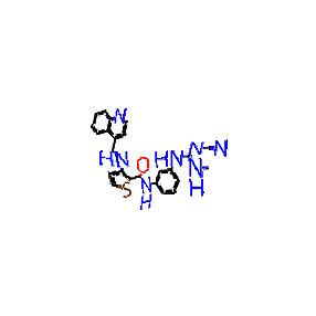 CN/C(=N\C#N)Nc1cccc(NC(=O)c2sccc2NCc2ccnc3ccccc23)c1